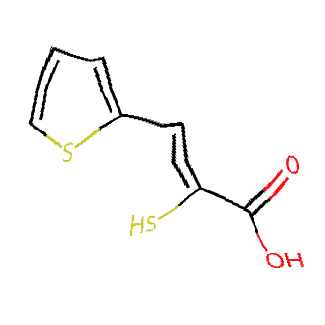 O=C(O)C(S)=Cc1cccs1